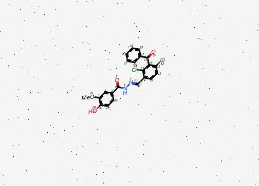 COc1cc(C(=O)N/N=C/c2ccc(Cl)c(C(=O)c3ccccc3)c2Cl)ccc1O